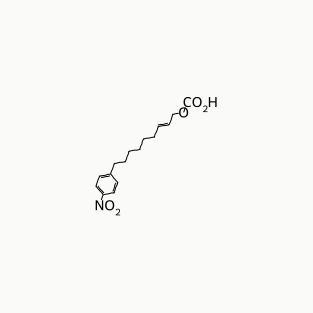 O=C(O)OCC=CCCCCCCc1ccc([N+](=O)[O-])cc1